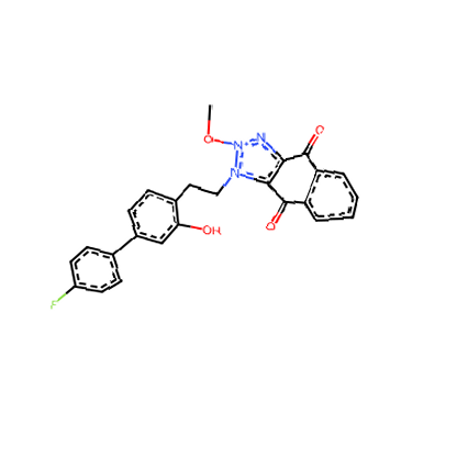 CO[n+]1nc2c(n1CCc1ccc(-c3ccc(F)cc3)cc1O)C(=O)c1ccccc1C2=O